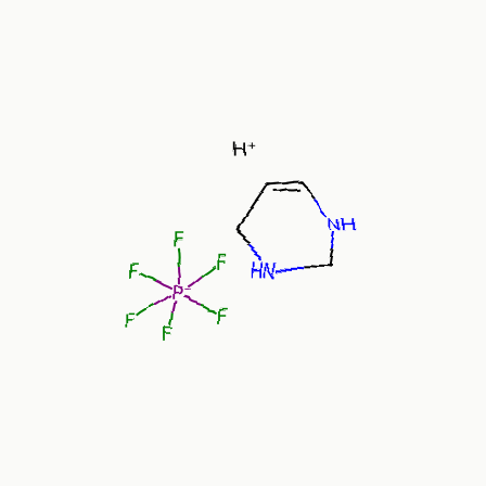 C1=CNCNC1.F[P-](F)(F)(F)(F)F.[H+]